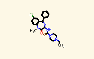 CCN1CCN(C(=S)NC2N=C(c3ccccc3)c3cc(Cl)ccc3N(C)C2=O)CC1